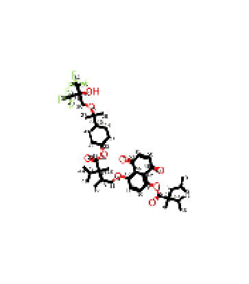 CC(C)CC(C)(C(=O)Oc1ccc(OCC(C)C(C)(C(=O)OC2CCC(C(C)(C)OCC(O)(C(F)(F)F)C(F)(F)F)CC2)C(C)C)c2c1C(=O)C=CC2=O)C(C)C